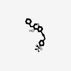 CN(C)S(=O)(=O)c1ccc(CC#Cc2ccc3ncc(Cc4ccccc4)c(O)c3c2)cc1